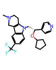 CN1CCc2c(c3cc(C(F)(F)F)ccc3n2C[C@@H](OC2CCCC2)c2ccncc2)C1